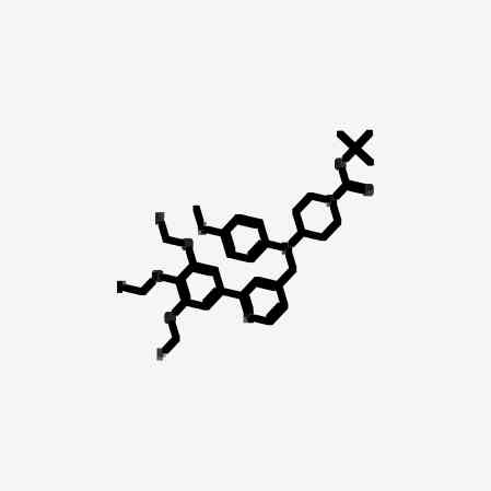 CSc1ccc(N(Cc2ccnc(-c3cc(OCF)c(OCF)c(OCF)c3)c2)C2CCN(C(=O)OC(C)(C)C)CC2)cc1